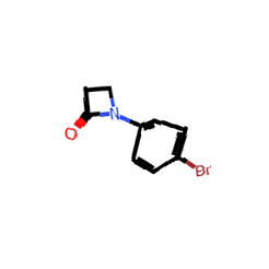 O=C1CCN1c1ccc(Br)cc1